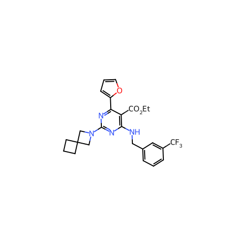 CCOC(=O)c1c(NCc2cccc(C(F)(F)F)c2)nc(N2CC3(CCC3)C2)nc1-c1ccco1